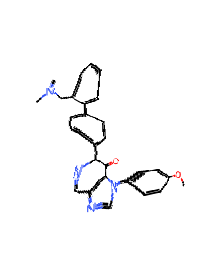 COc1ccc(-n2cnc3c2C(=O)C(c2ccc(-c4ccccc4CN(C)C)cc2)N=C3)cc1